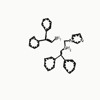 BC=C(c1ccccc1)c1ccccc1.C([SiH2]Cn1ccnc1)=C(c1ccccc1)c1ccccc1